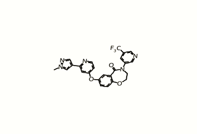 Cn1cc(-c2cc(Oc3ccc4c(c3)C(=O)N(c3cncc(C(F)(F)F)c3)CCO4)ccn2)cn1